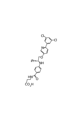 CC(C)[C@@H](COc1ccc(-c2cc(Cl)cc(Cl)c2)nc1)Nc1ccc(C(=O)NCCC(=O)O)cc1